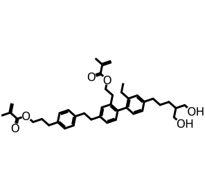 C=C(C)C(=O)OCCCc1ccc(CCc2ccc(-c3ccc(CCCC(CO)CO)cc3CC)c(CCOC(=O)C(=C)C)c2)cc1